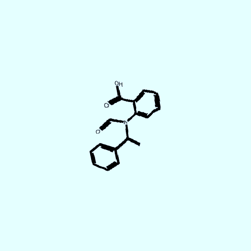 CC(c1ccccc1)N(C=O)c1ccccc1C(=O)O